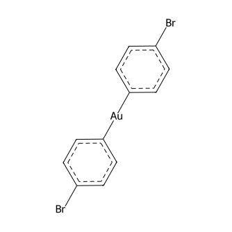 Brc1cc[c]([Au][c]2ccc(Br)cc2)cc1